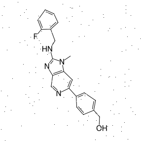 Cn1c(NCc2ccccc2F)nc2cnc(-c3ccc(CO)cc3)cc21